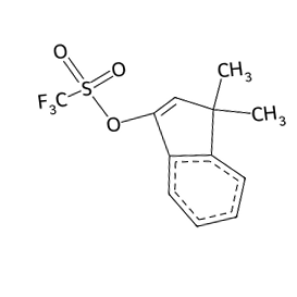 CC1(C)C=C(OS(=O)(=O)C(F)(F)F)c2ccccc21